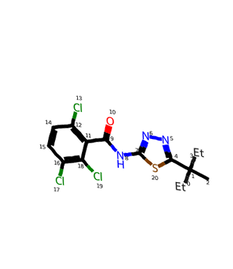 CCC(C)(CC)c1nnc(NC(=O)c2c(Cl)ccc(Cl)c2Cl)s1